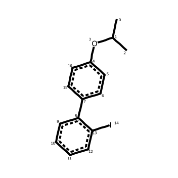 CC(C)Oc1ccc(-c2ccccc2I)cc1